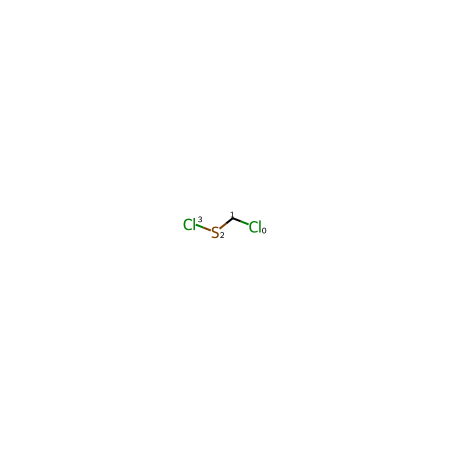 ClCSCl